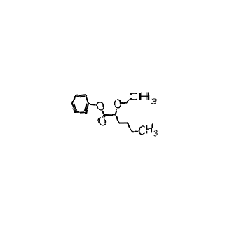 CCCCC(OCC)C(=O)Oc1ccccc1